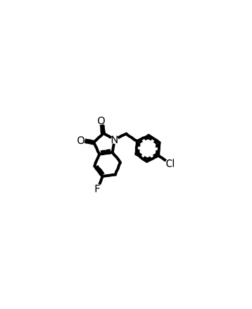 O=C1C(=O)N(Cc2ccc(Cl)cc2)C2=C1C=C(F)CC2